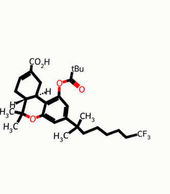 CC(C)(C)C(=O)Oc1cc(C(C)(C)CCCCCC(F)(F)F)cc2c1[C@@H]1CC(C(=O)O)=CC[C@H]1C(C)(C)O2